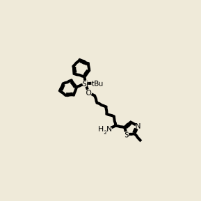 Cc1ncc(C(N)CCCCCO[Si](c2ccccc2)(c2ccccc2)C(C)(C)C)s1